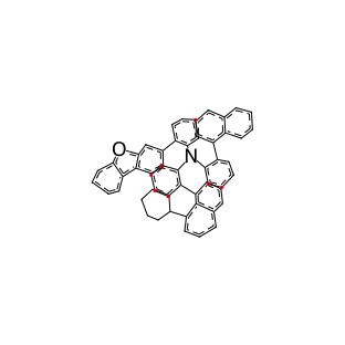 c1ccc(N(c2ccccc2-c2cccc3ccccc23)c2ccccc2-c2cccc3cccc(C4CCCCC4)c23)c(-c2ccc3c(c2)oc2ccccc23)c1